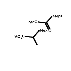 CCCCCCC(C)C(=O)O.CCCCCCCC(=O)OC